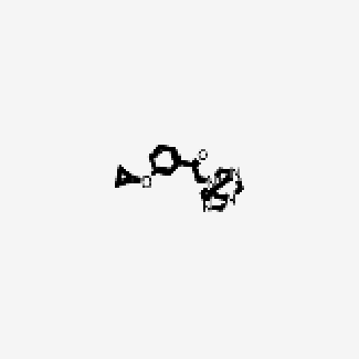 O=C(C[N+]12CN3CN(CN(C3)C1)C2)c1cccc(OC2CC2)c1